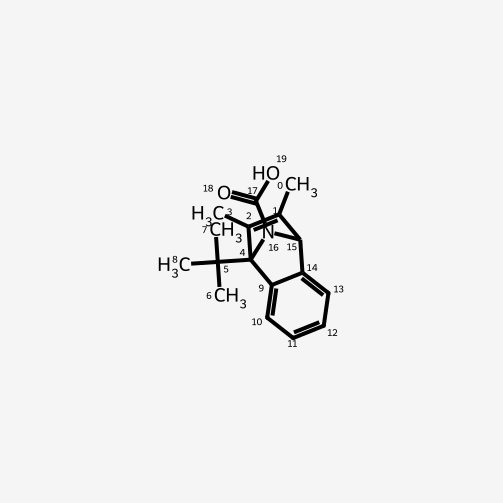 CC1=C(C)C2(C(C)(C)C)c3ccccc3C1N2C(=O)O